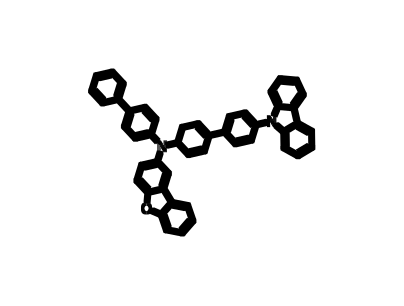 C1=CC(N(c2ccc(-c3ccccc3)cc2)c2ccc3oc4ccccc4c3c2)CC=C1c1ccc(-n2c3ccccc3c3ccccc32)cc1